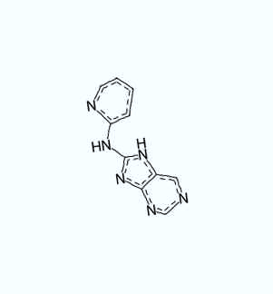 c1ccc(Nc2nc3ncncc3[nH]2)nc1